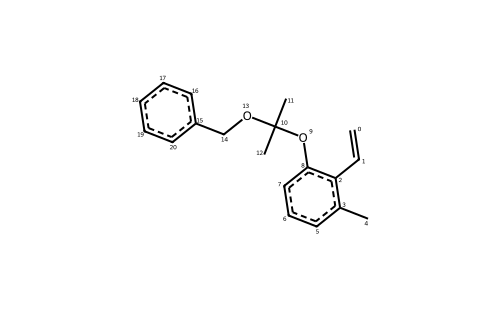 C=Cc1c(C)cccc1OC(C)(C)OCc1ccccc1